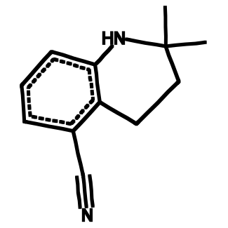 CC1(C)CCc2c(C#N)cccc2N1